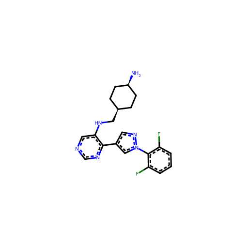 N[C@H]1CC[C@@H](CNc2cncnc2-c2cnn(-c3c(F)cccc3F)c2)CC1